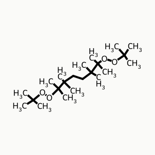 CC(C)(C)OOC(C)(C)C(C)(C)CCC(C)(C)C(C)(C)OOC(C)(C)C